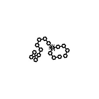 c1ccc(-c2cccc(-c3cccc(-c4ccc(-c5nc(-c6ccc(-c7cccc(-c8cccc(-c9cccc(-c%10cccc(-c%11ccc%12c(c%11)C%11(c%13ccccc%13-c%13ccccc%13%11)c%11ccccc%11-%12)c%10)c9)c8)c7)cc6)nc(-c6cccc(-c7cccc(-c8ccccc8)c7)c6)n5)cc4)c3)c2)cc1